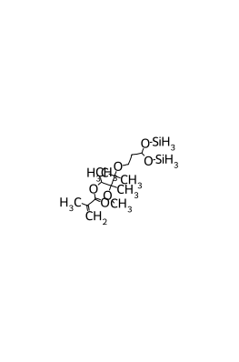 C=C(C)C(=O)OC(C)C(C)(OC)C(C)(C)OCCC(O[SiH3])O[SiH3]